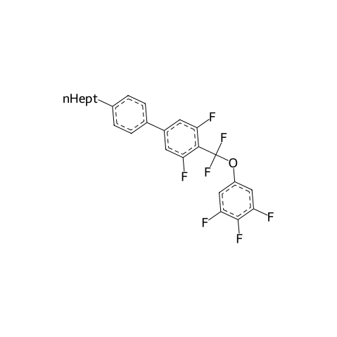 CCCCCCCc1ccc(-c2cc(F)c(C(F)(F)Oc3cc(F)c(F)c(F)c3)c(F)c2)cc1